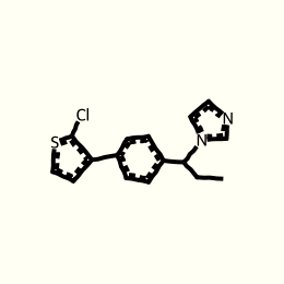 CCC(c1ccc(-c2ccsc2Cl)cc1)n1ccnc1